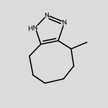 CC1CCCCCc2[nH]nnc21